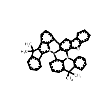 CC1(C)c2ccccc2N2c3c(cccc31)B1c3c(cc4c(oc5ccccc54)c32)-c2cccc3c4c(n1c23)-c1ccccc1C4(C)C